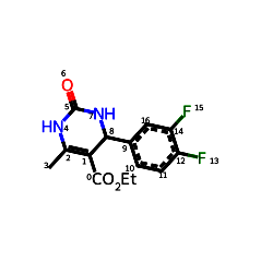 CCOC(=O)C1=C(C)NC(=O)NC1c1ccc(F)c(F)c1